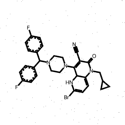 N#CC1=C(N2CCN(C(c3ccc(F)cc3)c3ccc(F)cc3)CC2)C2NC(Br)=CC=C2N(CC2CC2)C1=O